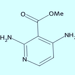 COC(=O)c1c(N)ccnc1N